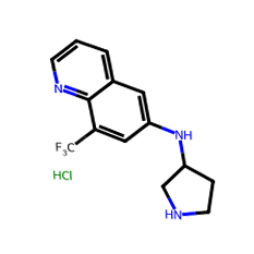 Cl.FC(F)(F)c1cc(NC2CCNC2)cc2cccnc12